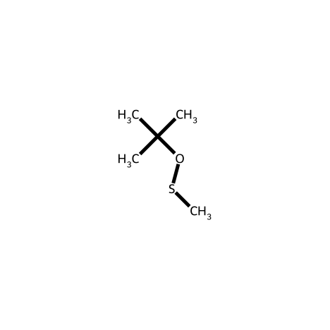 CSOC(C)(C)C